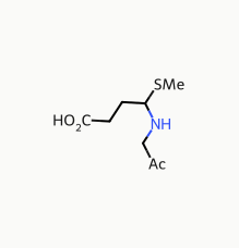 CSC(CCC(=O)O)NCC(C)=O